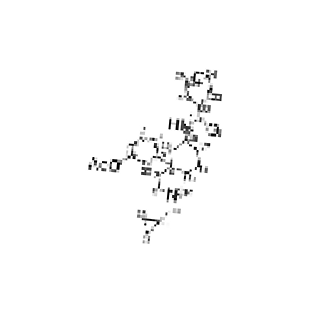 CC(=O)Oc1cccc(C23CCN(CC4CC4)CC2CCC(NC(=O)c2ccccc2)C3)c1